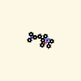 c1ccc(-c2nc(-n3c4ccccc4c4c(-c5cccc(-c6ccc7c(c6)c6ccccc6n7-c6ccccc6)c5)cc5c6ccccc6oc5c43)nc3ccccc23)cc1